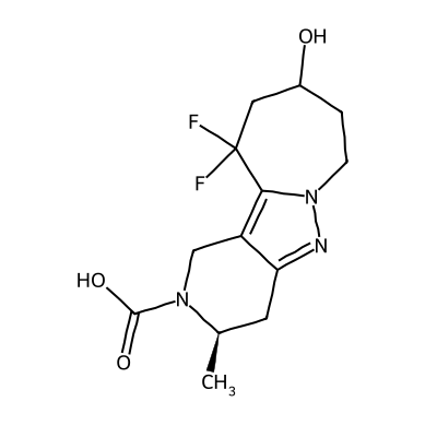 C[C@@H]1Cc2nn3c(c2CN1C(=O)O)C(F)(F)CC(O)CC3